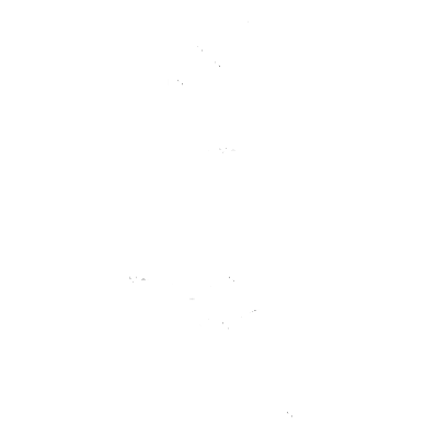 COc1cc2c(cc1OCCCCCOc1cc3c(cc1OC)C(=O)N1C[C@@H](C(F)(F)F)C[C@H]1CN3)NC[C@@H]1CC(c3ccc(N)cc3)=CN1C2=O